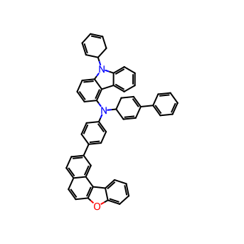 C1=CCC(n2c3ccccc3c3c(N(c4ccc(-c5ccc6ccc7oc8ccccc8c7c6c5)cc4)C4C=CC(c5ccccc5)=CC4)cccc32)C=C1